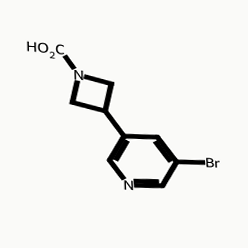 O=C(O)N1CC(c2cncc(Br)c2)C1